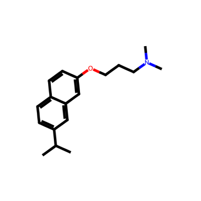 CC(C)c1ccc2ccc(OCCCN(C)C)cc2c1